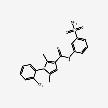 Cc1cc(C(=O)Nc2cccc(S(N)(=O)=O)c2)c(C)n1-c1ccccc1C(F)(F)F